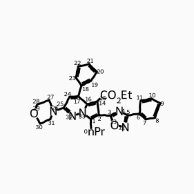 CCCc1c(-c2nc(-c3ccccc3)no2)c(C(=O)OCC)c2c(-c3ccccc3)cc(N3CCOCC3)nn12